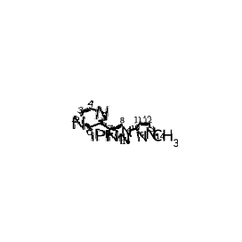 CC(C)c1nccnc1-c1cn(-c2ccn(C)n2)nn1